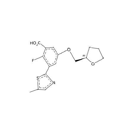 Cc1cnc(-c2cc(OC[C@H]3CCCO3)cc(C(=O)O)c2F)s1